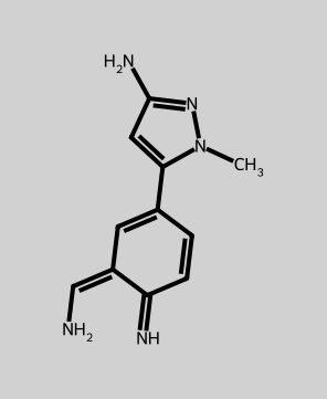 Cn1nc(N)cc1C1=C/C(=C/N)C(=N)C=C1